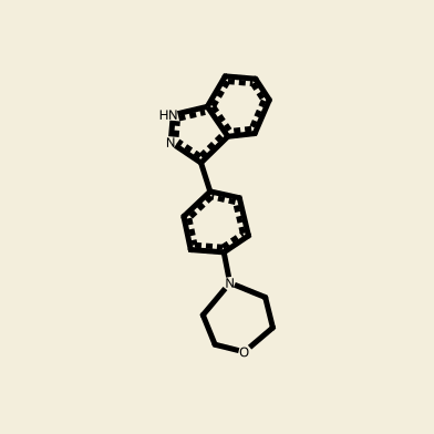 c1ccc2c(-c3ccc(N4CCOCC4)cc3)n[nH]c2c1